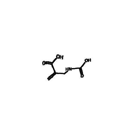 C=C(CNC(=O)O)C(=O)O